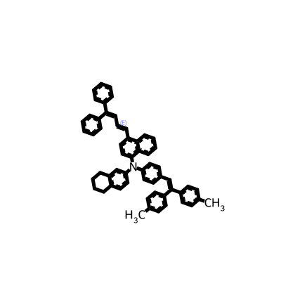 Cc1ccc(C(=Cc2ccc(N(c3ccc4c(c3)CCCC4)c3ccc(/C=C/C=C(c4ccccc4)c4ccccc4)c4ccccc34)cc2)c2ccc(C)cc2)cc1